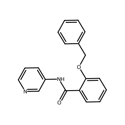 O=C(Nc1cccnc1)c1ccccc1OCc1ccccc1